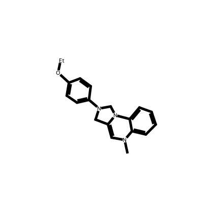 CCOc1ccc(N2CC3=CN(C)c4ccccc4N3C2)cc1